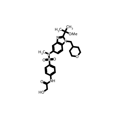 COC(C)(C)c1nc2cc(N(C)S(=O)(=O)c3ccc(NC(=O)CO)cc3)ccc2n1CC1CCOCC1